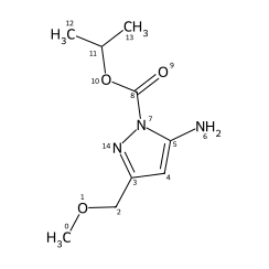 COCc1cc(N)n(C(=O)OC(C)C)n1